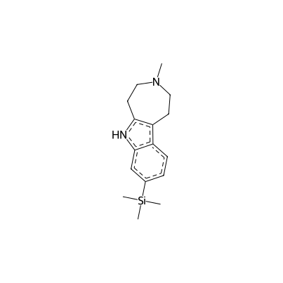 CN1CCc2[nH]c3cc([Si](C)(C)C)ccc3c2CC1